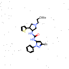 COCCN1CC(NC(=O)Nc2cc(C(C)C)nn2-c2ccccc2)C(c2cccs2)C1